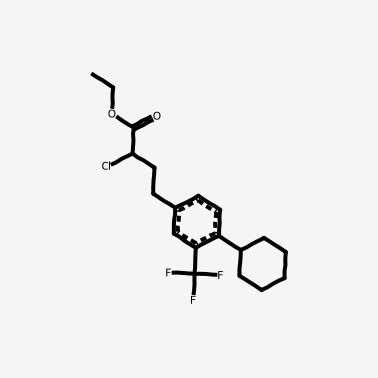 CCOC(=O)C(Cl)CCc1ccc(C2CCCCC2)c(C(F)(F)F)c1